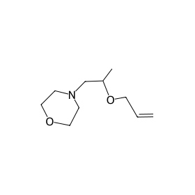 C=CCOC(C)CN1CCOCC1